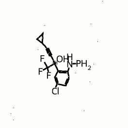 O[C@@](C#CC1CC1)(c1cc(Cl)ccc1NP)C(F)(F)F